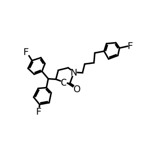 O=C1CC(C(c2ccc(F)cc2)c2ccc(F)cc2)CCN1CCCCc1ccc(F)cc1